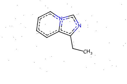 CCc1ncn2ccccc12